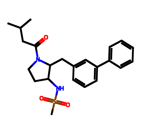 CC(C)CC(=O)N1CCC(NS(C)(=O)=O)C1Cc1cccc(-c2ccccc2)c1